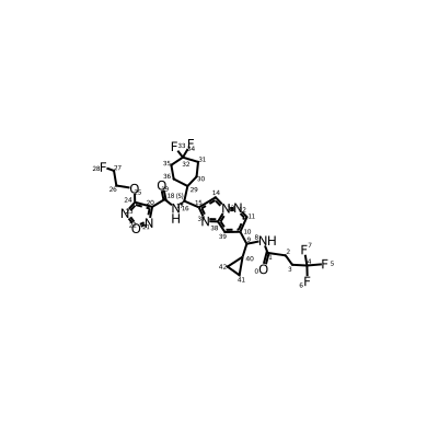 O=C(CCC(F)(F)F)NC(c1cnn2cc([C@@H](NC(=O)c3nonc3OCCF)C3CCC(F)(F)CC3)nc2c1)C1CC1